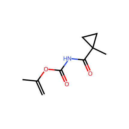 C=C(C)OC(=O)NC(=O)C1(C)CC1